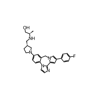 C[C@H](CO)NC[C@@H]1CCN(c2ccc3c(c2)Cn2cc(-c4ccc(F)cc4)cc2-c2nccn2-3)C1